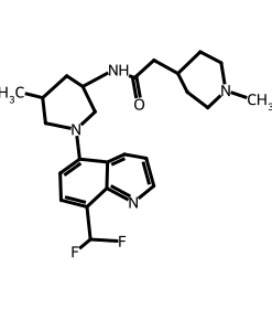 CC1CC(NC(=O)CC2CCN(C)CC2)CN(c2ccc(C(F)F)c3ncccc23)C1